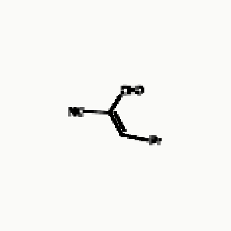 CC(C)C=C(C#N)C=O